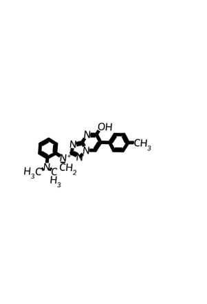 C=[N+](c1nc2nc(O)c(-c3ccc(C)cc3)cn2n1)c1ccccc1N(C)C